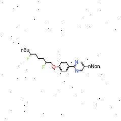 CCCCCCCCCc1cnc(-c2ccc(OCC(F)CCCC(F)CCCC)cc2)nc1